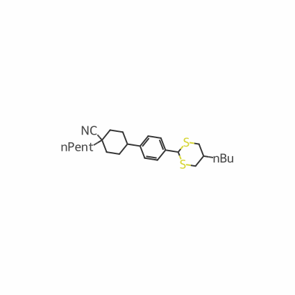 CCCCCC1(C#N)CCC(c2ccc(C3SCC(CCCC)CS3)cc2)CC1